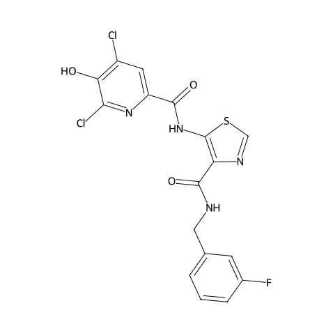 O=C(Nc1scnc1C(=O)NCc1cccc(F)c1)c1cc(Cl)c(O)c(Cl)n1